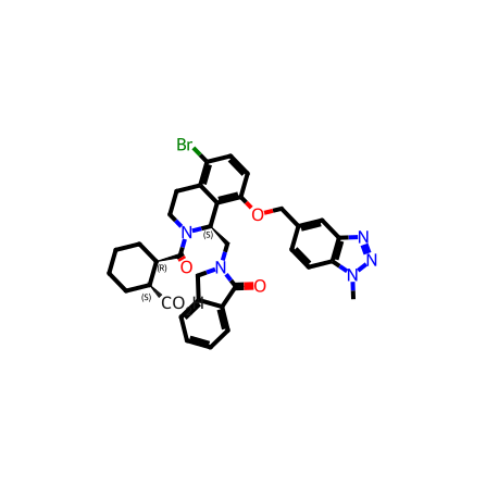 Cn1nnc2cc(COc3ccc(Br)c4c3[C@@H](CN3Cc5ccccc5C3=O)N(C(=O)[C@@H]3CCCC[C@@H]3C(=O)O)CC4)ccc21